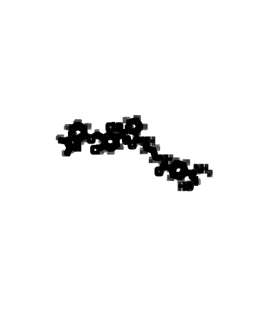 Cc1nc2c(OCc3c(Cl)ccc(S(=O)(=O)N4CCC[C@H]4C(=O)NCCCNC(=O)c4ccc(/C(N)=N\O)cc4)c3Cl)cccn2c1C